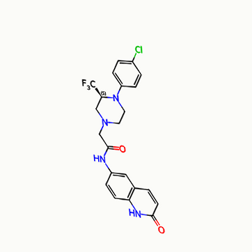 O=C(CN1CCN(c2ccc(Cl)cc2)[C@H](C(F)(F)F)C1)Nc1ccc2[nH]c(=O)ccc2c1